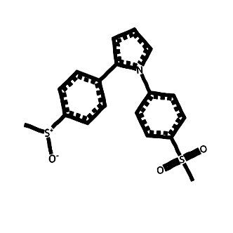 C[S+]([O-])c1ccc(-c2cccn2-c2ccc(S(C)(=O)=O)cc2)cc1